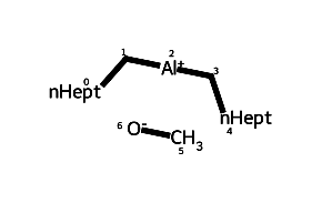 CCCCCCC[CH2][Al+][CH2]CCCCCCC.C[O-]